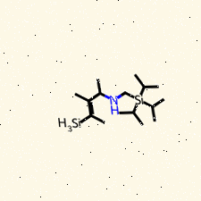 CC([SiH3])=C(C)C(C)NC[Si](C(C)C)(C(C)C)C(C)C